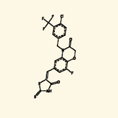 O=C1NC(=S)S/C1=C/c1cc(F)c2c(c1)N(Cc1ccc(Cl)c(C(F)(F)F)c1)C(=O)CO2